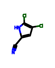 N#Cc1cc(Cl)c(Cl)[nH]1